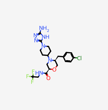 Nc1nnc(N2CCC(N3C[C@H](C(=O)NCC(F)(F)F)OC[C@@H]3Cc3ccc(Cl)cc3)CC2)[nH]1